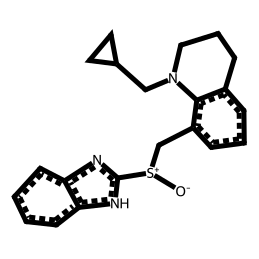 [O-][S+](Cc1cccc2c1N(CC1CC1)CCC2)c1nc2ccccc2[nH]1